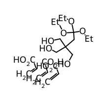 C=CC(=O)O.C=CC(=O)O.C=CC(=O)O.CCOC(CC(CO)(CO)CO)(OCC)OCC